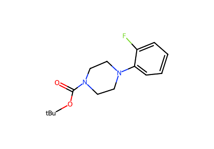 CC(C)(C)OC(=O)N1CCN(c2ccccc2F)CC1